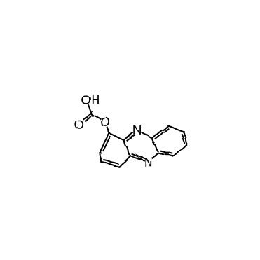 O=C(O)Oc1cccc2nc3ccccc3nc12